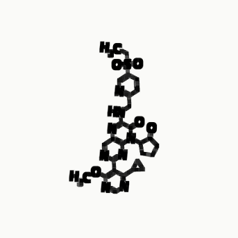 CCS(=O)(=O)c1ccc(CNc2nc3cnc(-c4c(OC)ncnc4C4CC4)nc3n(C3CCCC3=O)c2=O)nc1